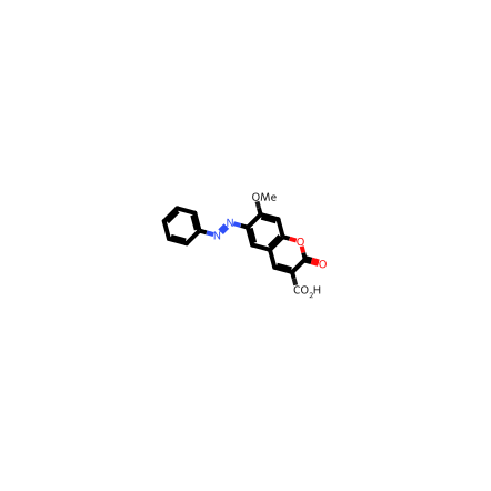 COc1cc2oc(=O)c(C(=O)O)cc2cc1/N=N/c1ccccc1